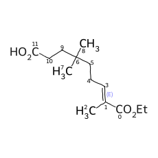 CCOC(=O)/C(C)=C/CCC(C)(C)CCC(=O)O